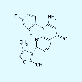 Cc1noc(C)c1-c1ccc2c(=O)cc(N)n(-c3ccc(F)cc3F)c2n1